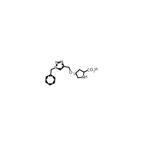 O=C(O)C1C[C@@H](OCc2cn(Cc3ccccc3)nn2)CN1